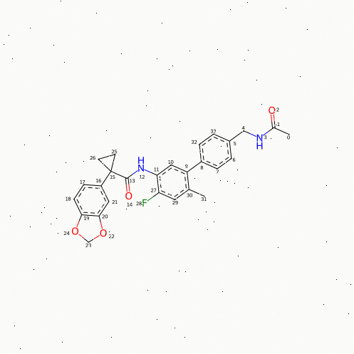 CC(=O)NCc1ccc(-c2cc(NC(=O)C3(c4ccc5c(c4)OCO5)CC3)c(F)cc2C)cc1